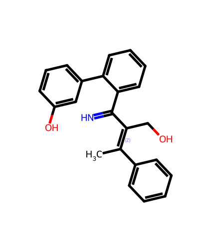 C/C(=C(/CO)C(=N)c1ccccc1-c1cccc(O)c1)c1ccccc1